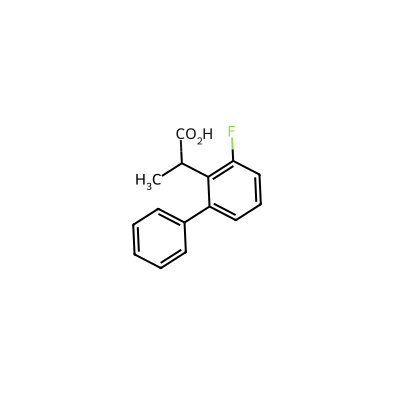 CC(C(=O)O)c1c(F)cccc1-c1ccccc1